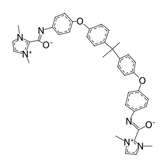 Cn1cc[n+](C)c1/C([O-])=N/c1ccc(Oc2ccc(C(C)(C)c3ccc(Oc4ccc(/N=C(\[O-])c5n(C)cc[n+]5C)cc4)cc3)cc2)cc1